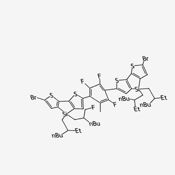 CCCCC(CC)C[Si]1(CC(CF)CCCC)c2cc(Br)sc2-c2sc(-c3c(C)c(F)c(-c4cc5c(s4)-c4sc(Br)cc4[Si]5(CC(CC)CCCC)CC(CC)CCCC)c(F)c3F)cc21